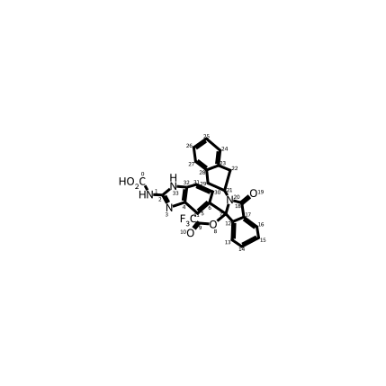 O=C(O)Nc1nc2cc(C3(OC(=O)C(F)(F)F)c4ccccc4C(=O)N3C3Cc4ccccc4C3)ccc2[nH]1